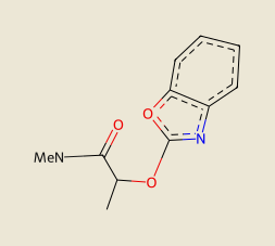 CNC(=O)C(C)Oc1nc2ccccc2o1